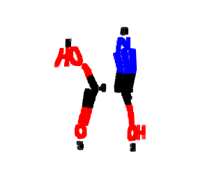 N#CO.O=CO